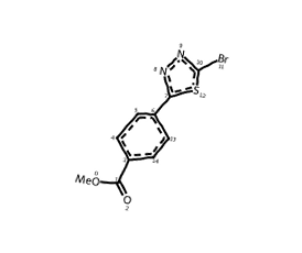 COC(=O)c1ccc(-c2nnc(Br)s2)cc1